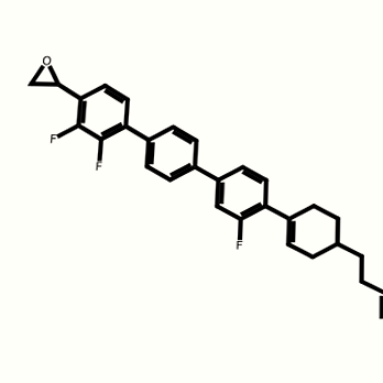 C=CCCC1CC=C(c2ccc(-c3ccc(-c4ccc(C5CO5)c(F)c4F)cc3)cc2F)CC1